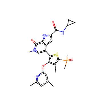 Cc1cc(C)nc(Oc2c(-c3cn(C)c(=O)c4[nH]c(C(=O)NC5CC5)cc34)sc(P(C)(C)=O)c2C)c1